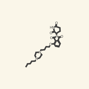 CCCCCN1CCN(CCCCOc2cccc3c2C(=O)N(C2CCC(=O)NC2=O)C3=O)CC1